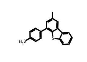 Bc1ccc(-c2cc(C)cc3c2sc2ccccc23)cc1